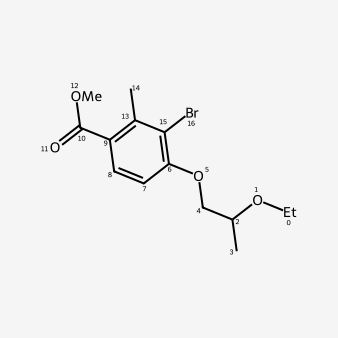 CCOC(C)COc1ccc(C(=O)OC)c(C)c1Br